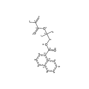 C=C(C)C(=O)OC(C)(C)COC(=O)c1cccc2ccccc12